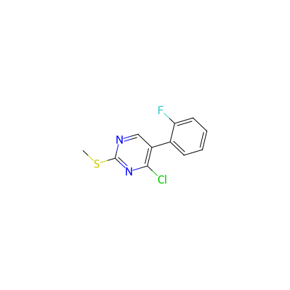 CSc1ncc(-c2ccccc2F)c(Cl)n1